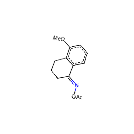 COc1cccc2c1CCC/C2=N\OC(C)=O